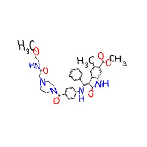 COCCNC(=O)CN1CCN(C(=O)c2ccc(N/C(=C3\C(=O)Nc4cc(C(=O)OC)c(C)cc43)c3ccccc3)cc2)CC1